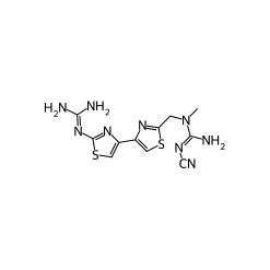 CN(Cc1nc(-c2csc(N=C(N)N)n2)cs1)C(N)=NC#N